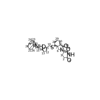 O=C1CCC(N2Cc3c(SCc4ccc(CNC56CC7CC(CC(C7)C5)C6)o4)cccc3C2=O)C(=O)N1